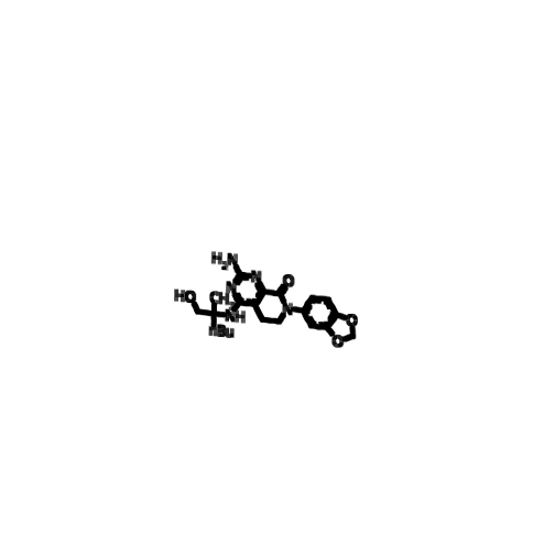 CCCCC(C)(CO)Nc1nc(N)nc2c1CCN(c1ccc3c(c1)OCO3)C2=O